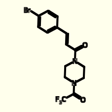 O=C(/C=C/c1ccc(Br)cc1)N1CCN(C(=O)C(F)(F)F)CC1